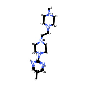 Cc1cnc(N2CCN(CCN3CCN(C)CC3)CC2)nc1